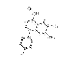 Cc1cc(C(=O)c2ccc(F)cc2)c(C(=O)NN)nc1C